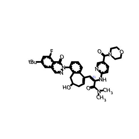 CN(C)C(=O)/C(=C\C1=CCC(O)Cc2c1cccc2-n1ncc2cc(C(C)(C)C)cc(F)c2c1=O)Nc1ccc(C(=O)N2CCOCC2)cn1